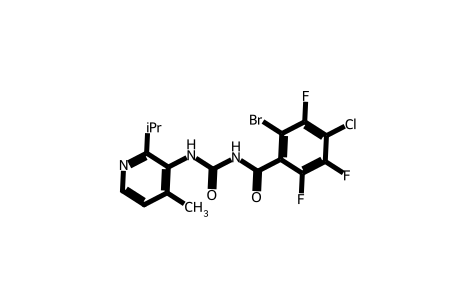 Cc1ccnc(C(C)C)c1NC(=O)NC(=O)c1c(F)c(F)c(Cl)c(F)c1Br